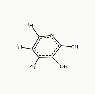 [2H]c1nc(C)c(O)c([2H])c1[2H]